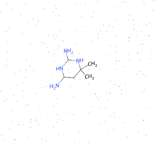 CC1(C)CC(N)NC(N)N1